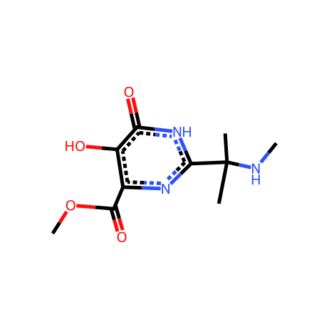 CNC(C)(C)c1nc(C(=O)OC)c(O)c(=O)[nH]1